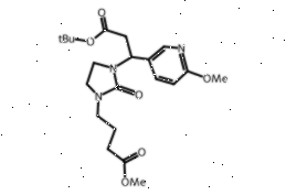 COC(=O)CCCN1CCN(C(CC(=O)OC(C)(C)C)c2ccc(OC)nc2)C1=O